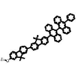 CCOc1ccc2c(c1)C(C)(C)c1cc(-c3ccc4c(c3)C(C)(C)c3cc(-c5c6ccccc6c(-c6c7ccccc7c(-c7ccccc7)c7ccccc67)c6ccccc56)ccc3-4)ccc1-2